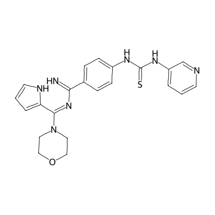 N=C(/N=C(\c1ccc[nH]1)N1CCOCC1)c1ccc(NC(=S)Nc2cccnc2)cc1